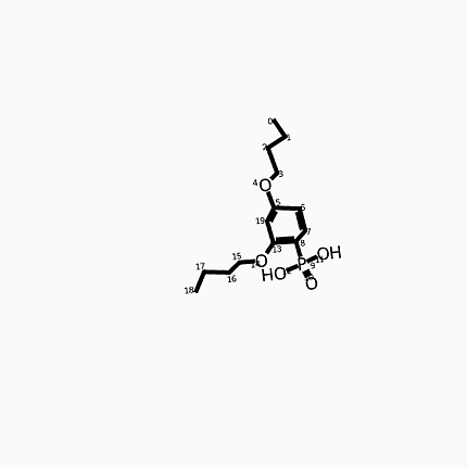 CCCCOc1ccc(P(=O)(O)O)c(OCCCC)c1